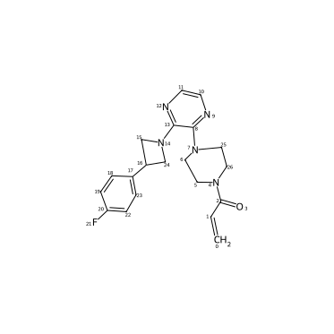 C=CC(=O)N1CCN(c2nccnc2N2CC(c3ccc(F)cc3)C2)CC1